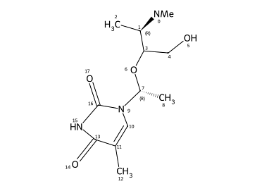 CN[C@H](C)C(CO)O[C@H](C)n1cc(C)c(=O)[nH]c1=O